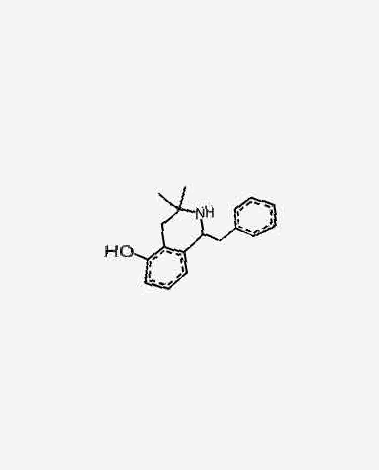 CC1(C)Cc2c(O)cccc2C(Cc2ccccc2)N1